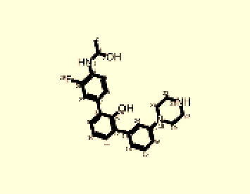 CC(O)Nc1ccc(-c2cccc(-c3cccc(N4CCNCC4)c3)c2O)cc1F